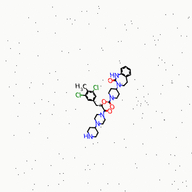 Cc1c(Cl)cc(C[C@@H](OC(=O)N2CCC(N3CCc4ccccc4NC3=O)CC2)C(=O)N2CCN(C3CCNCC3)CC2)cc1Cl